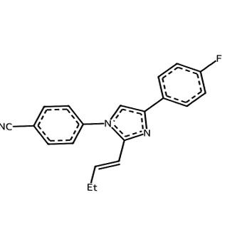 CCC=Cc1nc(-c2ccc(F)cc2)cn1-c1ccc(C#N)cc1